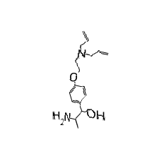 C=CCN(CC=C)CCOc1ccc(C(O)C(C)N)cc1